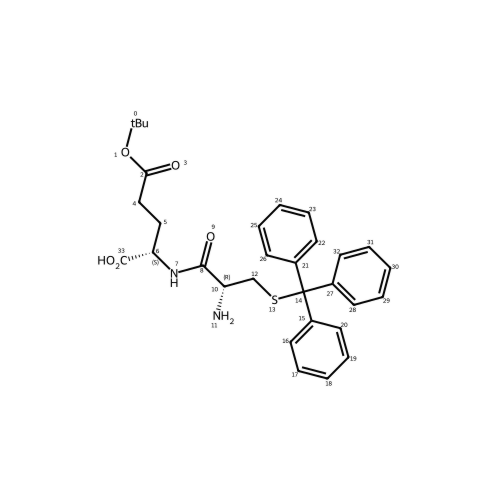 CC(C)(C)OC(=O)CC[C@H](NC(=O)[C@@H](N)CSC(c1ccccc1)(c1ccccc1)c1ccccc1)C(=O)O